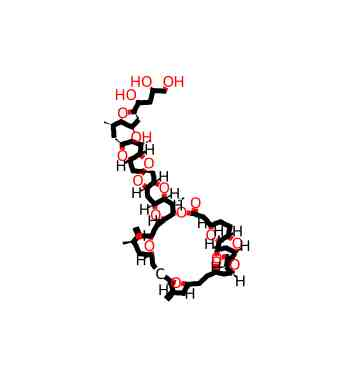 C=C1C[C@@H]2CCC34C[C@@H]5OC(O3)[C@H]5[C@H]3C[C@@H](O4)[C@H]4O[C@H](CC[C@@H]4O3)CC(=O)O[C@@H]3[C@@H](C)[C@@H]4O[C@@H]5C[C@]6(C[C@@H]7O[C@H](C[C@H](C)[C@@H]8O[C@H]([C@@H](O)C[C@@H](O)CO)C[C@@H]8O)C[C@H](C)[C@@H]7O6)O[C@@H]5C[C@@H]4O[C@H]3C[C@H]3O[C@@H](CC[C@@H]1O2)C[C@@H](C)C3=C